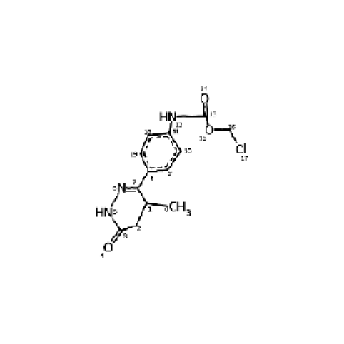 CC1CC(=O)NN=C1c1ccc(NC(=O)OCCl)cc1